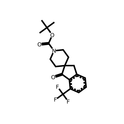 CC(C)(C)OC(=O)N1CCC2(CC1)Cc1cccc(C(F)(F)F)c1C2=O